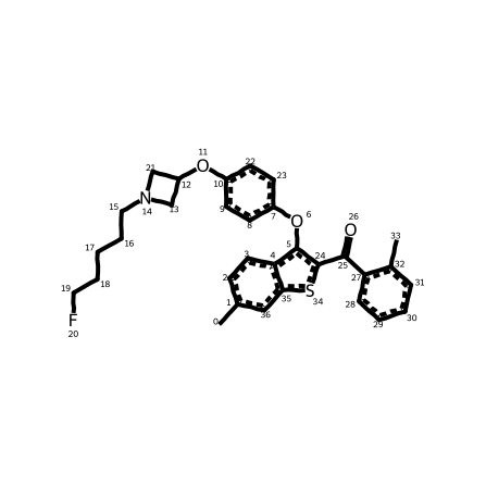 Cc1ccc2c(Oc3ccc(OC4CN(CCCCCF)C4)cc3)c(C(=O)c3ccccc3C)sc2c1